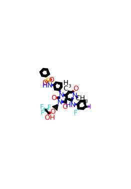 Cc1c(=O)n(C)c(Nc2ccc(I)cc2F)c2c(=O)n(C3CC3)c(=O)n(-c3cccc(NS(=O)(=O)c4ccccc4)c3)c12.O=C(O)C(F)(F)F